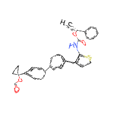 C[C@@H](OC(=O)Nc1sccc1-c1ccc(-c2ccc(C3(OC=O)CC3)cc2)cc1)c1ccccc1